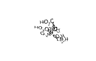 CC(=O)O.O=C(O)C(=O)Cc1ccccc1[N+](=O)[O-].O=C(O)CCCOc1ccc(Cl)cc1Cl.O=C(O)CI